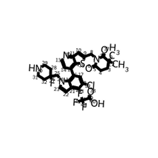 CC1(C)CCC(=O)N(Cc2cc3nccc(-c4cc(Cl)cc5ccn(CC6(F)CCNCC6)c45)c3s2)C1=O.O=C(O)C(F)(F)F